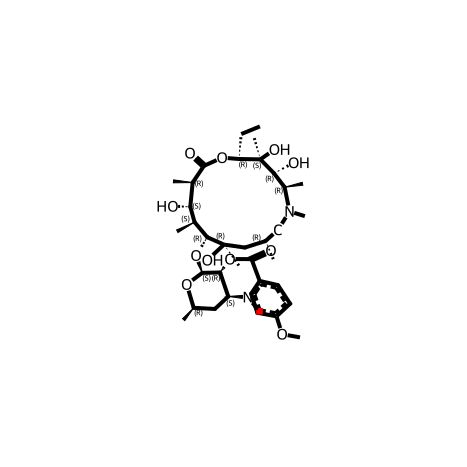 CC[C@H]1OC(=O)[C@H](C)[C@@H](O)[C@H](C)[C@@H](O[C@@H]2O[C@H](C)C[C@H](N(C)C)[C@H]2OC(=O)c2ccc(OC)cc2)[C@](C)(O)C[C@@H](C)CN(C)[C@H](C)[C@@H](O)[C@]1(C)O